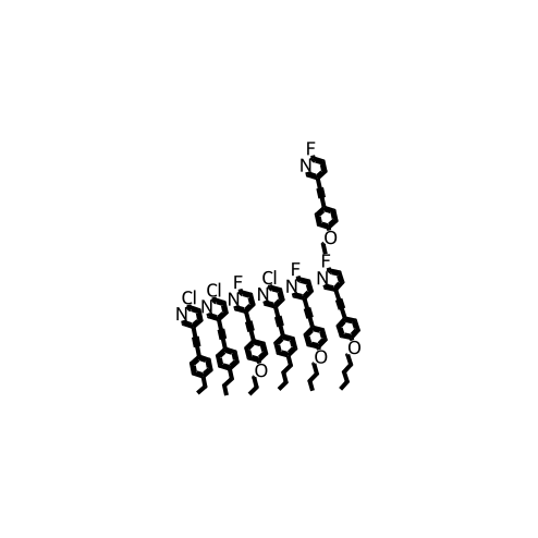 CCCCCOc1ccc(C#Cc2ccc(F)nc2)cc1.CCCCOc1ccc(C#Cc2ccc(F)nc2)cc1.CCCCc1ccc(C#Cc2ccc(Cl)nc2)cc1.CCCOc1ccc(C#Cc2ccc(F)nc2)cc1.CCCc1ccc(C#Cc2ccc(Cl)nc2)cc1.CCOc1ccc(C#Cc2ccc(F)nc2)cc1.CCc1ccc(C#Cc2ccc(Cl)nc2)cc1